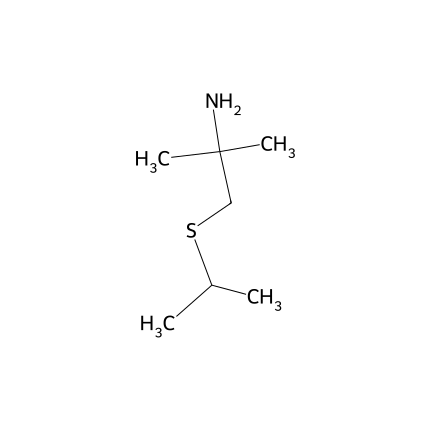 CC(C)SCC(C)(C)N